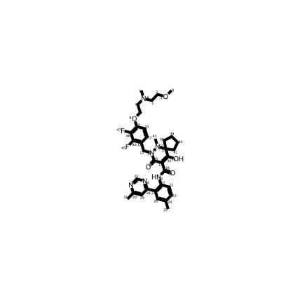 COCCN(C)CCOc1ccc(CN2C(=O)C(C(=O)Nc3ccc(C)cc3-c3cc(C)ncn3)=C(O)C3(CCCC3)N2C)c(F)c1F